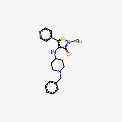 CC(C)(C)n1sc(-c2ccccc2)c(NC2CCN(Cc3ccccc3)CC2)c1=O